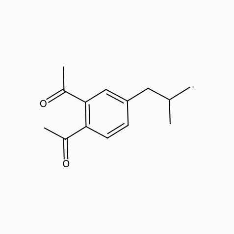 [CH2]C(C)Cc1ccc(C(C)=O)c(C(C)=O)c1